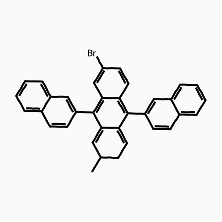 CC1C=c2c(-c3ccc4ccccc4c3)c3cc(Br)ccc3c(-c3ccc4ccccc4c3)c2=CC1